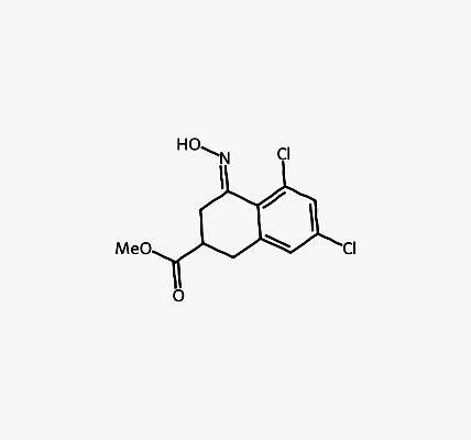 COC(=O)C1C/C(=N\O)c2c(Cl)cc(Cl)cc2C1